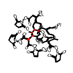 CCC(CC(=O)ON1C(=O)CCC1=O)C(CC(C(CCC(C)CC(=O)ON1C(=O)CCC1=O)CC(C)C)C(CC(C(C)C)C(C)CC(=O)ON1C(=O)CCC1=O)C(C)C(C)CCC(=O)ON1C(=O)CCC1=O)CC(C)C(C)(CC)ON1C(=O)CCC1=O